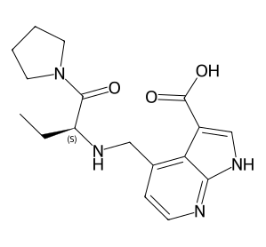 CC[C@H](NCc1ccnc2[nH]cc(C(=O)O)c12)C(=O)N1CCCC1